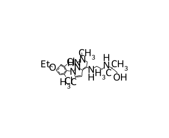 CCOc1cc(Cl)c(N2C(C)=CC3=C(NCCNC(C)(C)CO)CN(C)NN32)c(Cl)c1